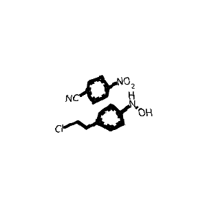 N#Cc1ccc([N+](=O)[O-])cc1.ONc1ccc(CCCl)cc1